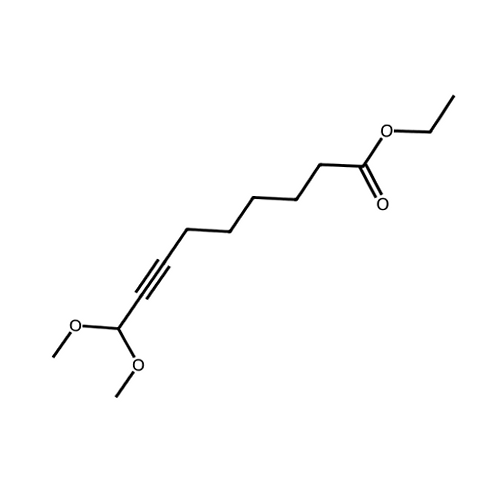 CCOC(=O)CCCCCC#CC(OC)OC